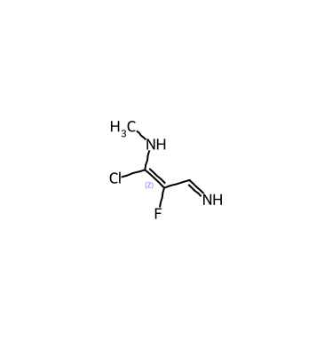 CN/C(Cl)=C(/F)C=N